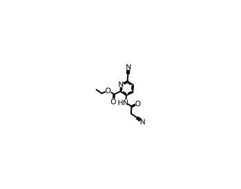 CCOC(=O)c1nc(C#N)ccc1NC(=O)CC#N